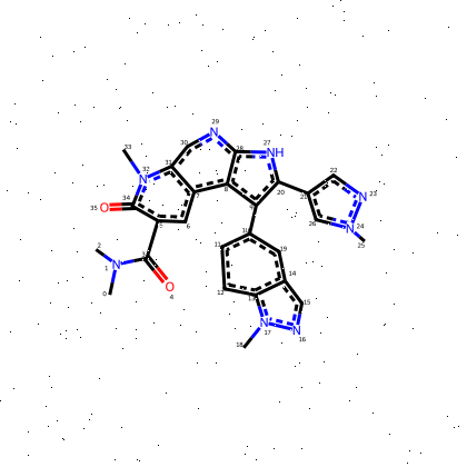 CN(C)C(=O)c1cc2c3c(-c4ccc5c(cnn5C)c4)c(-c4cnn(C)c4)[nH]c3ncc2n(C)c1=O